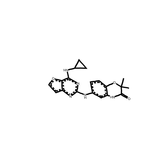 CC1(C)Oc2ccc(Nc3nc(NC4CC4)c4occc4n3)cc2NC1=O